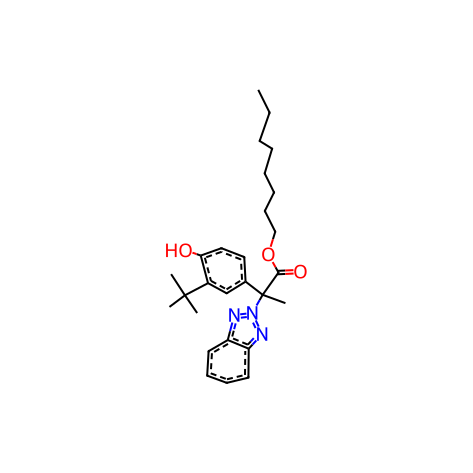 CCCCCCCCOC(=O)C(C)(c1ccc(O)c(C(C)(C)C)c1)n1nc2ccccc2n1